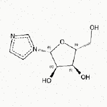 OC[C@H]1O[C@@H](n2ccnc2)[C@H](O)[C@@H]1O